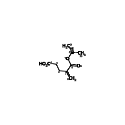 C=C(CCC(=O)O)C(=O)O[SiH](C)C